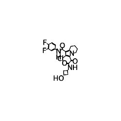 O=C(NC1CC(O)C1)C(=O)c1c(Cl)c(C(=O)Nc2ccc(F)c(F)c2)c2n1CCCC2